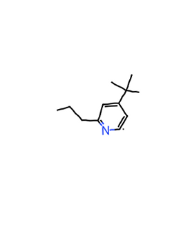 CCCc1cc(C(C)(C)C)c[c]n1